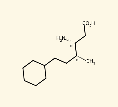 C[C@H](CCC1CCCCC1)[C@H](N)CC(=O)O